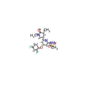 Cc1cc(-c2cc(Oc3ccc(F)cc3F)cc(NS(C)(=O)=O)n2)cn(C)c1=O